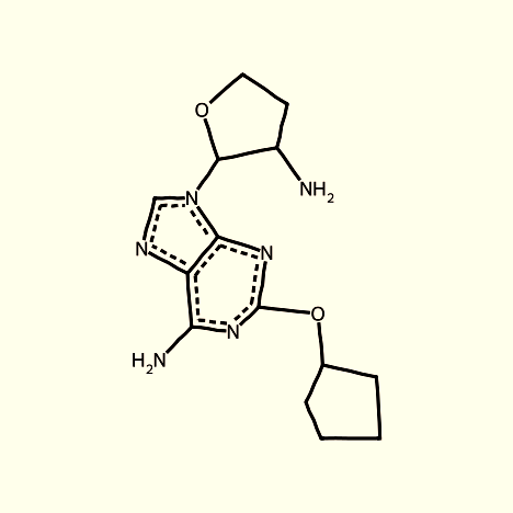 Nc1nc(OC2CCCC2)nc2c1ncn2C1OCCC1N